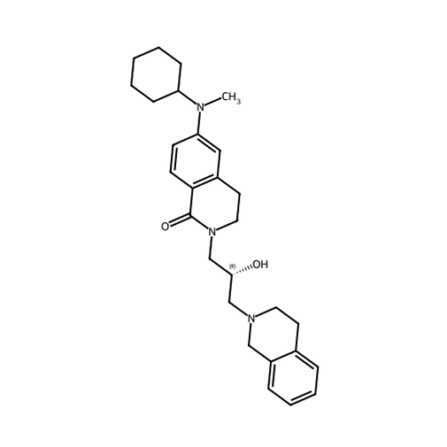 CN(c1ccc2c(c1)CCN(C[C@H](O)CN1CCc3ccccc3C1)C2=O)C1CCCCC1